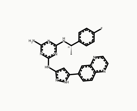 C[C@H](Nc1nc(N)nc(Nc2cc(-c3ccc4nccnc4c3)[nH]n2)n1)c1ccc(F)cc1